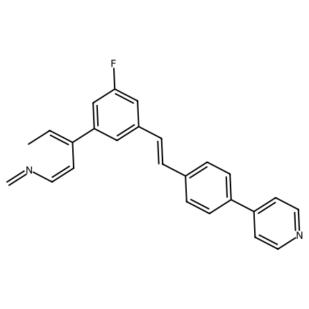 C=N/C=C\C(=C/C)c1cc(F)cc(/C=C/c2ccc(-c3ccncc3)cc2)c1